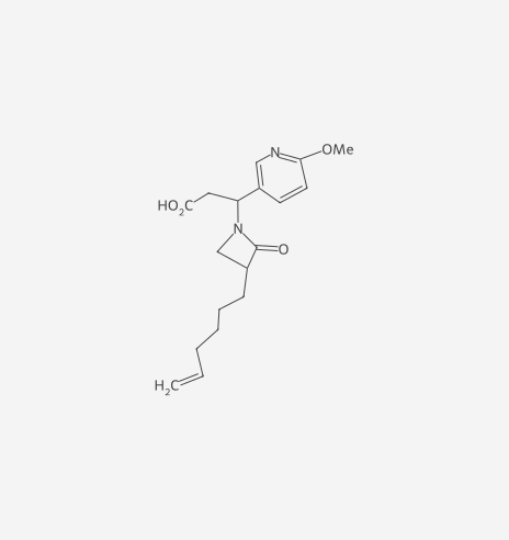 C=CCCCCC1CN(C(CC(=O)O)c2ccc(OC)nc2)C1=O